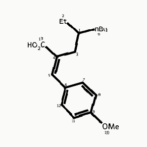 CCCCC(CC)CC(=Cc1ccc(OC)cc1)C(=O)O